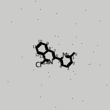 Cc1cccc(-c2cc3ccccc3c(Cl)n2)n1